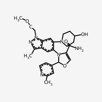 COCCn1nc(C)c2cc(N3C(C(N)=O)=COC3c3ccnc(C)c3)c(N3CCC(O)CC3)cc21